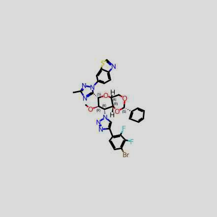 CO[C@@H]1[C@@H](n2cc(-c3ccc(Br)c(F)c3F)nn2)[C@H]2O[C@@H](c3ccccc3)OC[C@H]2O[C@H]1c1nc(C)nn1-c1ccc2ncsc2c1